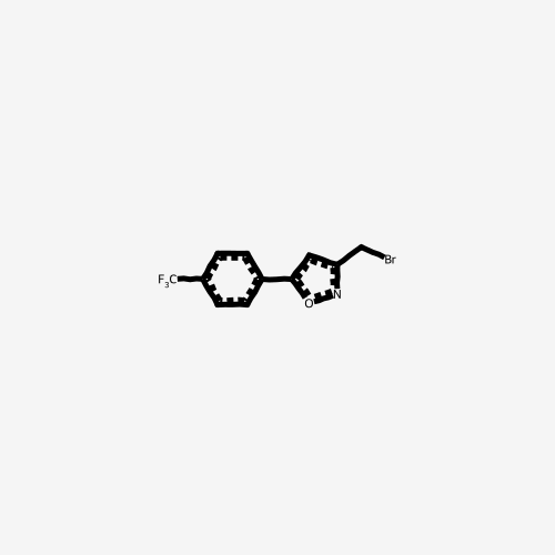 FC(F)(F)c1ccc(-c2cc(CBr)no2)cc1